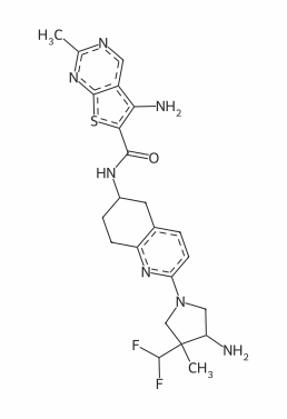 Cc1ncc2c(N)c(C(=O)NC3CCc4nc(N5CC(N)C(C)(C(F)F)C5)ccc4C3)sc2n1